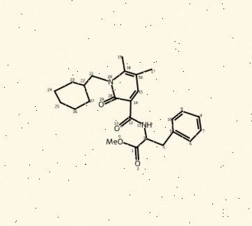 COC(=O)C(Cc1ccccc1)NC(=O)c1cc(C)c(C)n(CC2CCCCC2)c1=O